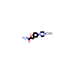 NC(=O)c1cc2cc(N3CCN(C=O)CC3)ccc2o1